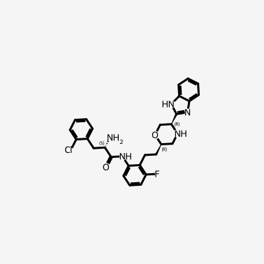 N[C@@H](Cc1ccccc1Cl)C(=O)Nc1cccc(F)c1CC[C@@H]1CN[C@H](c2nc3ccccc3[nH]2)CO1